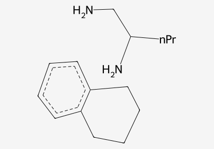 CCCC(N)CN.c1ccc2c(c1)CCCC2